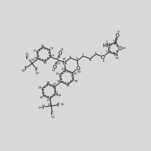 O=c1[nH]c(OCCCC2CN(S(=O)(=O)c3cccc(C(F)(F)F)c3)c3cc(-c4cccc(C(F)(F)F)n4)ccc3O2)no1